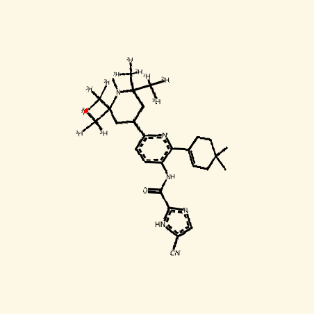 [2H]C([2H])([2H])C1(C([2H])([2H])[2H])CC(c2ccc(NC(=O)c3ncc(C#N)[nH]3)c(C3=CCC(C)(C)CC3)n2)CC(C([2H])([2H])[2H])(C([2H])([2H])[2H])N1C